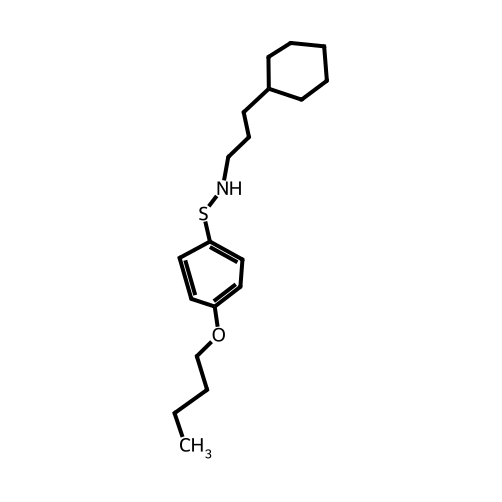 CCCCOc1ccc(SNCCCC2CCCCC2)cc1